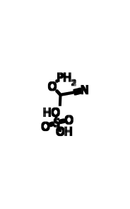 CC(C#N)OP.O=S(=O)(O)O